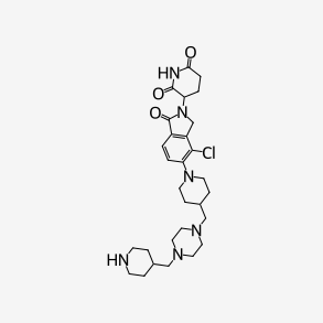 O=C1CCC(N2Cc3c(ccc(N4CCC(CN5CCN(CC6CCNCC6)CC5)CC4)c3Cl)C2=O)C(=O)N1